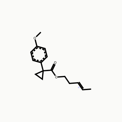 C/C=C/CCOC(=O)C1(c2ccc(OC)cc2)CC1